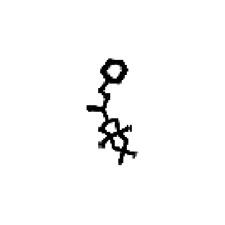 O=C(OCc1ccccc1)C1C[C@@H]2CC(F)(F)C[C@@H]2C1